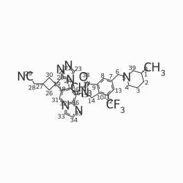 C[C@H]1CCCN(Cc2cc3c(c(C(F)(F)F)c2)CN(c2cc(C4(c5nncn5C)CC(CC#N)C4)cn4ccnc24)C3=O)C1